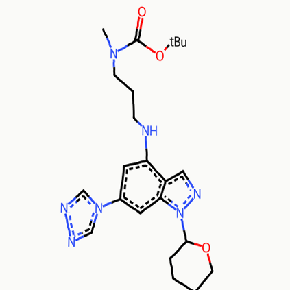 CN(CCCNc1cc(-n2cnnc2)cc2c1cnn2C1CCCCO1)C(=O)OC(C)(C)C